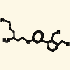 CC(C)CCCC(C)CCOc1cccc(-c2cccc(CCl)c2CCl)c1